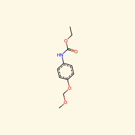 CCOC(=O)Nc1ccc(OCOC)cc1